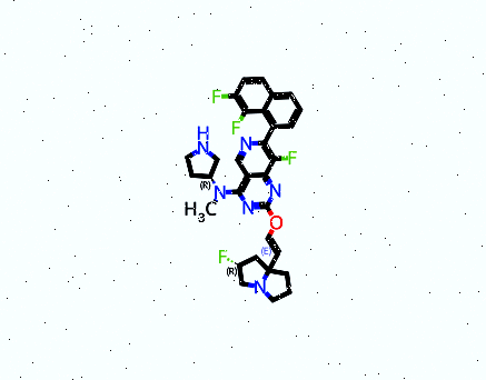 CN(c1nc(O/C=C/C23CCCN2C[C@H](F)C3)nc2c(F)c(-c3cccc4ccc(F)c(F)c34)ncc12)[C@@H]1CCNC1